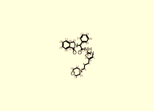 O=C(Nc1ncc(CCCN2CCOCC2)s1)C(c1ccccc1)N1Cc2ccccc2C1=O